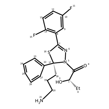 CC[C@H](O)C(=O)N1N=C(c2cc(F)ccc2F)S[C@]1(CCCN)c1ccccc1